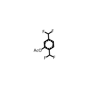 CC(=O)Oc1cc(C(F)F)ccc1C(F)F